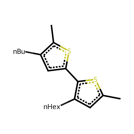 CCCCCCc1cc(C)sc1-c1cc(CCCC)c(C)s1